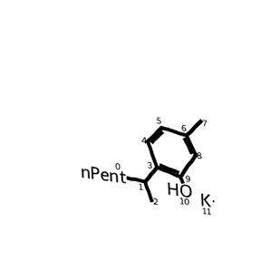 CCCCCC(C)c1ccc(C)cc1O.[K]